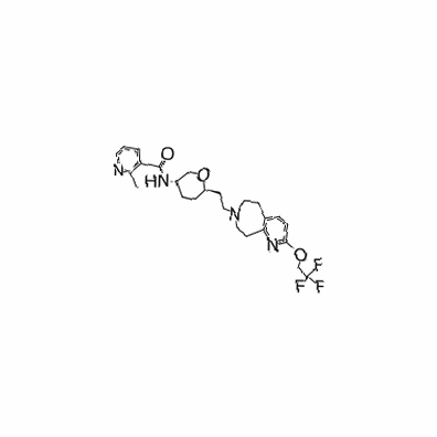 Cc1ncccc1C(=O)N[C@H]1CC[C@H](CCN2CCc3ccc(OCC(F)(F)F)nc3CC2)OC1